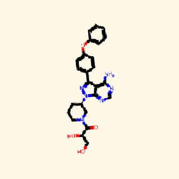 Nc1ncnc2c1c(-c1ccc(Oc3ccccc3)cc1)nn2[C@@H]1CCCN(C(=O)C(O)CO)C1